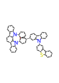 c1ccc(-n2c3ccccc3c3ccc4c5ccccc5n(-c5ccc(-c6ccc7c8ccccc8n(-c8ccc9sc%10ccccc%10c9c8)c7c6)cc5)c4c32)cc1